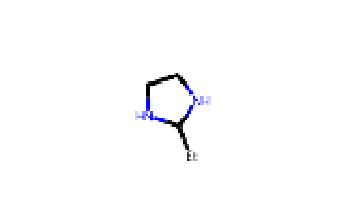 [CH2]CC1NCCN1